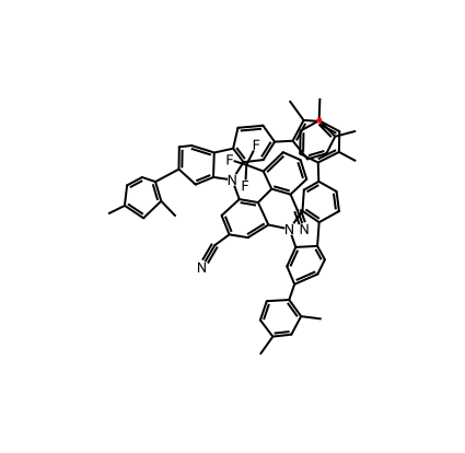 Cc1ccc(-c2ccc3c4ccc(-c5ccc(C)cc5C)cc4n(-c4cc(C#N)cc(-n5c6cc(-c7ccc(C)cc7C)ccc6c6ccc(-c7ccc(C)cc7C)cc65)c4-c4c(C#N)cccc4C(F)(F)F)c3c2)c(C)c1